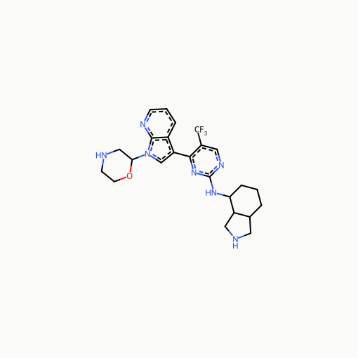 FC(F)(F)c1cnc(NC2CCCC3CNCC32)nc1-c1cn(C2CNCCO2)c2ncccc12